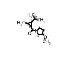 COC1CCN(C(=O)C2C(C)C2C(C)C)C1